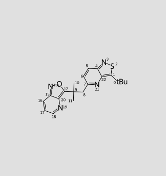 CC(C)(C)c1snc2ccc(CC(C)(C)c3onc4cccnc34)nc12